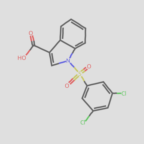 O=C(O)c1cn(S(=O)(=O)c2cc(Cl)cc(Cl)c2)c2ccccc12